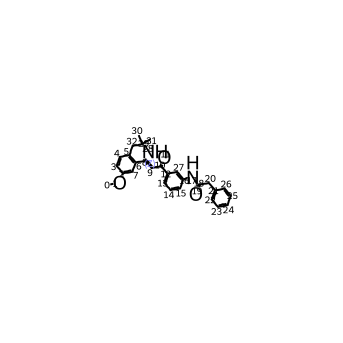 COc1ccc2c(c1)/C(=C/C(=O)c1cccc(NC(=O)Cc3ccccc3)c1)NC(C)(C)C2